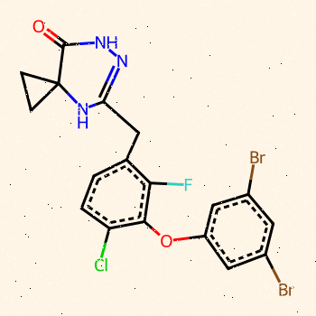 O=C1NN=C(Cc2ccc(Cl)c(Oc3cc(Br)cc(Br)c3)c2F)NC12CC2